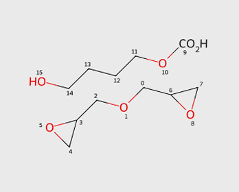 C(OCC1CO1)C1CO1.O=C(O)OCCCCO